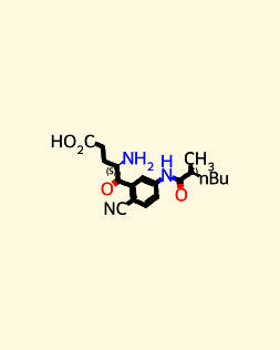 CCCC[C@H](C)C(=O)Nc1ccc(C#N)c(C(=O)[C@@H](N)CCC(=O)O)c1